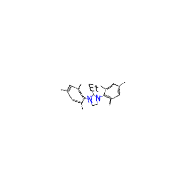 CCC1N(c2c(C)cc(C)cc2C)CCN1c1c(C)cc(C)cc1C